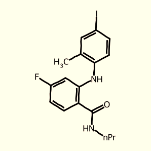 CCCNC(=O)c1ccc(F)cc1Nc1ccc(I)cc1C